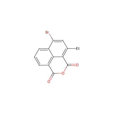 CCc1cc(Br)c2cccc3c2c1C(=O)OC3=O